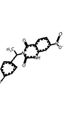 CC(c1ccc(Cl)cc1)n1c(=O)[nH]c2cc([N+](=O)[O-])ccc2c1=O